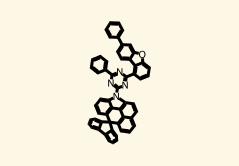 c1ccc(-c2ccc3c(c2)oc2cccc(-c4nc(-c5ccccc5)nc(-n5c6cccc7c6c6c8c(cccc8ccc65)C75c6ccccc6-c6ccccc65)n4)c23)cc1